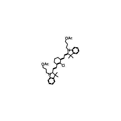 CC(=O)OCCCN1/C(=C/C=C2\CCCC(/C=C/C3N(CCCOC(C)=O)c4ccccc4C3(C)C)=C2Cl)C(C)(C)c2ccccc21